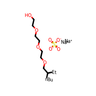 CCCCC(CC)COCCOCCOCCO.O=S(=O)([O-])[O-].[Na+].[Na+]